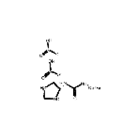 C1CNCN1.NC(N)=O.O=S([O-])O.O=S([O-])O.[Na+].[Na+]